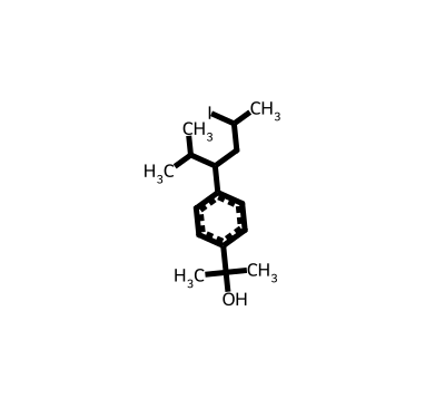 CC(I)CC(c1ccc(C(C)(C)O)cc1)C(C)C